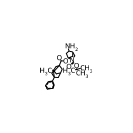 CC12CC3CC(C(=O)OC45CC(N)C(CN4C(=O)OC(C)(C)C)C5)(C1)CC(c1ccccc1)(C3)C2